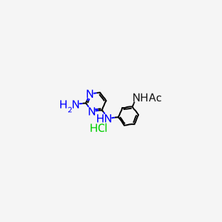 CC(=O)Nc1cccc(Nc2ccnc(N)n2)c1.Cl